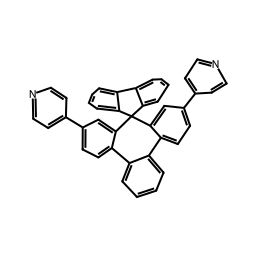 c1ccc2c(c1)-c1ccc(-c3ccncc3)cc1C1(c3cc(-c4ccncc4)ccc3-2)c2ccccc2-c2ccccc21